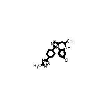 Cc1nsc(C2CCC(c3nnc4n3-c3ccc(Cl)cc3NC(C)C4)CC2)n1